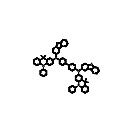 CC1(C)c2ccccc2N(c2ccccc2)c2ccc(N(c3ccc(-c4ccc(N(c5ccc6c(c5)C(C)(C)c5ccccc5N6c5ccccc5)c5ccc6sc7ccccc7c6c5)cc4)cc3)c3ccc4sc5ccccc5c4c3)cc21